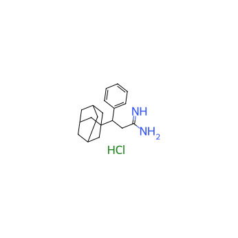 Cl.N=C(N)CC(c1ccccc1)C12CC3CC(CC(C3)C1)C2